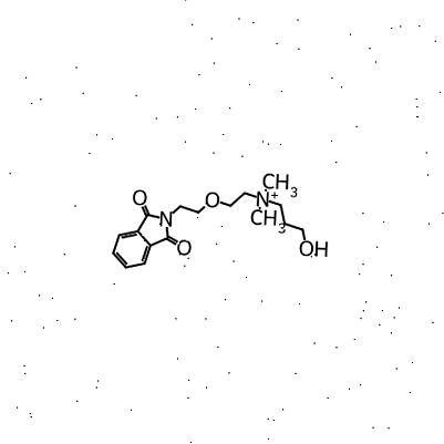 C[N+](C)(CCCO)CCOCCN1C(=O)c2ccccc2C1=O